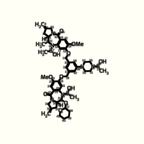 C=C1C[C@H]2[C@H](C)N(B(C)O)c3cc(OCc4cc(COc5cc6c(cc5OC)C(=O)N5CC(=C)C[C@H]5[C@H](OC5CCCCO5)N6B(C)O)cc(N5CCN(B(C)O)CC5)c4)c(OC)cc3C(=O)N2C1